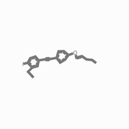 CCCC=COc1ccc(C#Cc2ccc(I)c(CC)c2)cc1